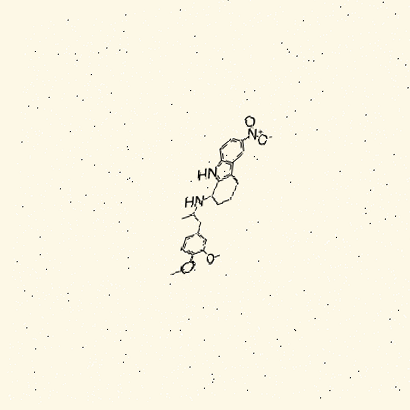 COc1ccc(CC(C)NC2CCCc3c2[nH]c2ccc([N+](=O)[O-])cc32)cc1OC